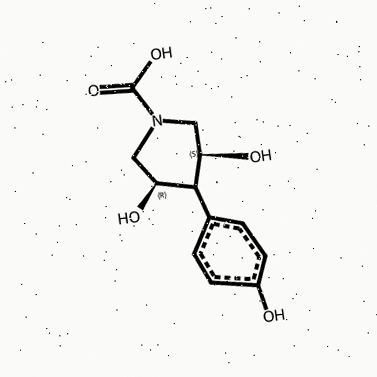 O=C(O)N1C[C@@H](O)C(c2ccc(O)cc2)[C@@H](O)C1